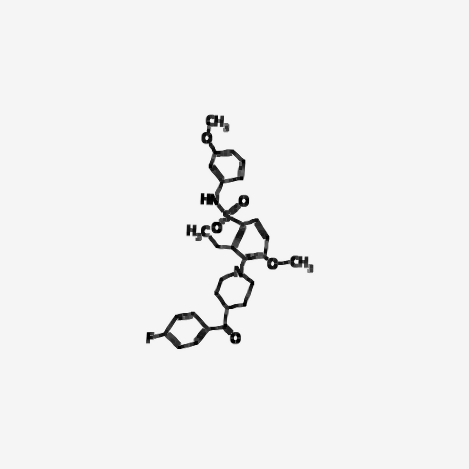 CCc1c(S(=O)(=O)Nc2cccc(OC)c2)ccc(OC)c1N1CCC(C(=O)c2ccc(F)cc2)CC1